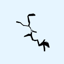 C=C(CCCC(C)(C)C)N(C)C(CCC)CCC